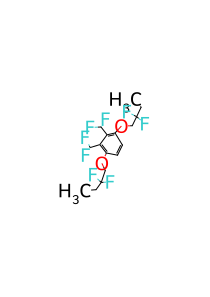 CCC(F)(F)COc1ccc(OCC(F)(F)CC)c(C(F)F)c1C(F)F